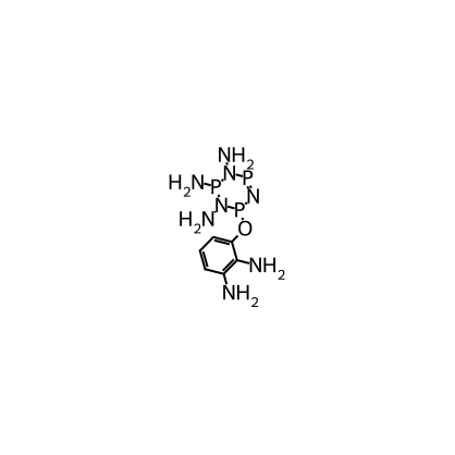 Nc1cccc(Op2npn(N)p(N)n2N)c1N